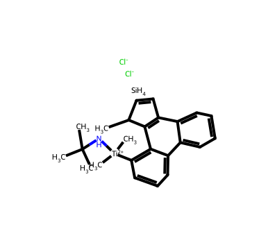 CC1C=Cc2c1c1[c]([Ti+2]([CH3])([CH3])[NH]C(C)(C)C)cccc1c1ccccc21.[Cl-].[Cl-].[SiH4]